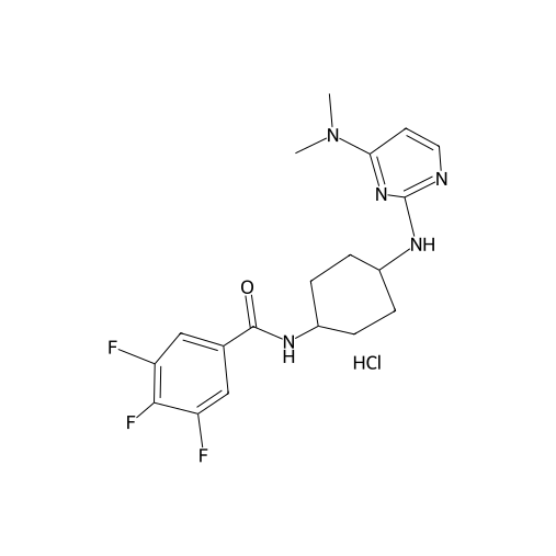 CN(C)c1ccnc(NC2CCC(NC(=O)c3cc(F)c(F)c(F)c3)CC2)n1.Cl